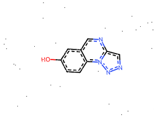 Oc1ccc2c(cnc3cnnn32)c1